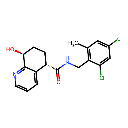 Cc1cc(Cl)cc(Cl)c1CNC(=O)[C@H]1CC[C@H](O)c2ncccc21